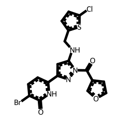 O=C(c1ccoc1)n1nc(-c2ccc(Br)c(=O)[nH]2)cc1NCc1ccc(Cl)s1